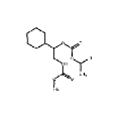 CC(Cl)OC(=O)OC(CNC(=O)OC(C)(C)C)C1CCCCC1